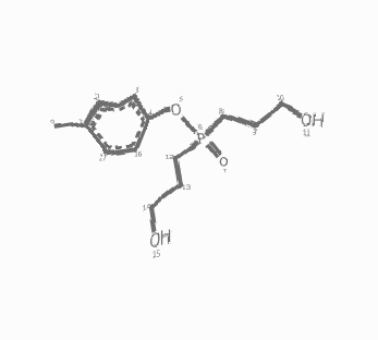 Cc1ccc(OP(=O)(CCCO)CCCO)cc1